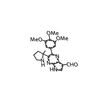 COc1cc(-c2nc3c(C=O)c[nH]c3nc2C2(C)CCCN2)cc(OC)c1OC